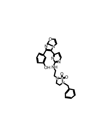 O=S1(=O)N(CCNc2nccc(-c3c(-c4cccc(O)c4)nc4occn34)n2)CCN1Cc1ccccc1